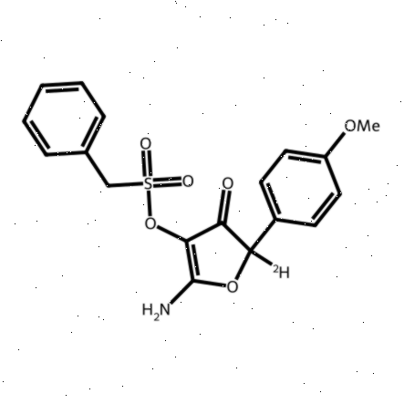 [2H]C1(c2ccc(OC)cc2)OC(N)=C(OS(=O)(=O)Cc2ccccc2)C1=O